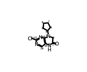 O=C1CN(C2CCCC2)c2nc(Cl)ncc2N1